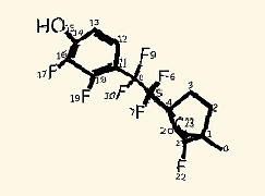 CC12CCC(C(F)(F)C(F)(F)c3ccc(O)c(F)c3F)(C=C1F)CC2